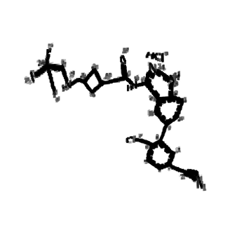 Cl.N#Cc1ccc(Cl)c(-c2ccc3[nH]nc(NC(=O)C4CC(NCC(F)(F)F)C4)c3c2)c1